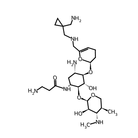 CN[C@@H]1[C@@H](O)[C@@H](O[C@@H]2[C@@H](O)[C@H](O[C@@H]3CCC=C(CNCC4(CN)CC4)O3)[C@@H](N)C[C@H]2NC(=O)CCN)OC[C@H]1C